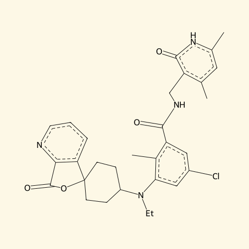 CCN(c1cc(Cl)cc(C(=O)NCc2c(C)cc(C)[nH]c2=O)c1C)C1CCC2(CC1)OC(=O)c1ncccc12